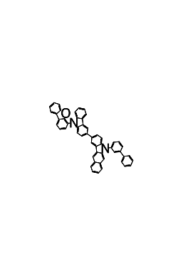 c1ccc(-c2cccc(-n3c4ccc(-c5ccc6c(c5)c5ccccc5n6-c5cccc6c5oc5ccccc56)cc4c4cc5ccccc5cc43)c2)cc1